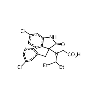 CCC(CC)N(CC(=O)O)C1(Cc2cccc(Cl)c2)C(=O)Nc2cc(Cl)ccc21